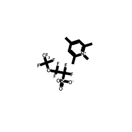 Cc1cc(C)[n+](C)c(C)c1.O=S(=O)([O-])C(F)(F)C(F)(F)OC(F)(F)C(F)(F)F